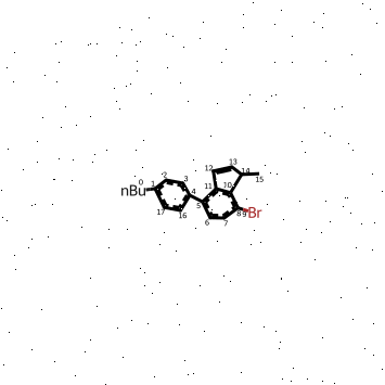 CCCCc1ccc(-c2ccc(Br)c3c2C=CC3C)cc1